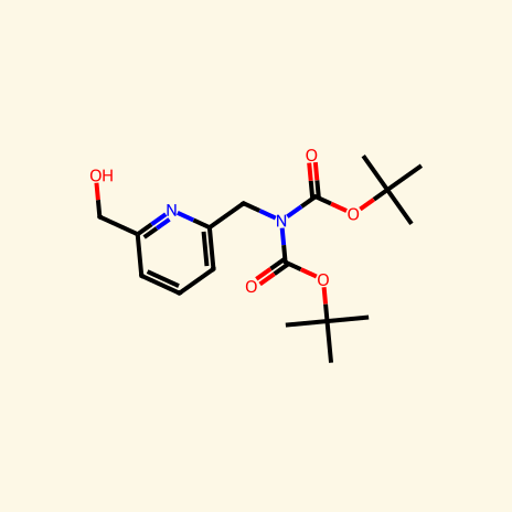 CC(C)(C)OC(=O)N(Cc1cccc(CO)n1)C(=O)OC(C)(C)C